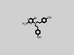 Nc1ncc(Br)c(N(CCc2ccc(O)cc2)CCc2ccc(O)cc2)n1